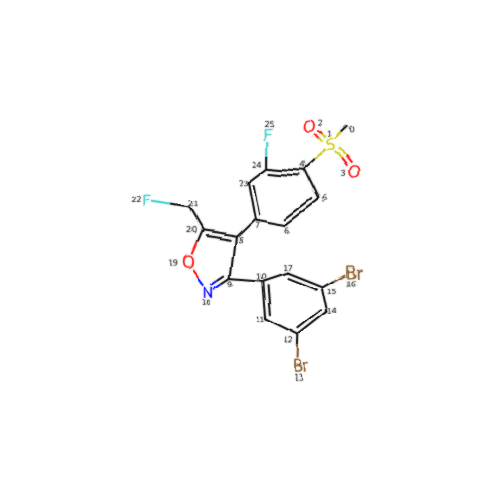 CS(=O)(=O)c1ccc(-c2c(-c3cc(Br)cc(Br)c3)noc2CF)cc1F